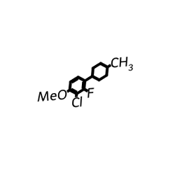 COc1ccc(C2CCC(C)CC2)c(F)c1Cl